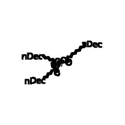 CCCCCCCCCCCCCCCCCCC(=O)OC[C@@H](COC(=O)CCCCCCCCCCCCCCC)OC(=O)CCCCCCCCCCCCCCC